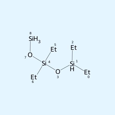 CC[SiH](CC)O[Si](CC)(CC)O[SiH3]